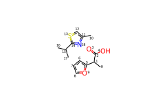 CC(C(=O)O)c1ccco1.Cc1csc(C(C)C)n1